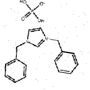 O=P([O-])(O)O.c1ccc(Cn2cc[n+](Cc3ccccc3)c2)cc1